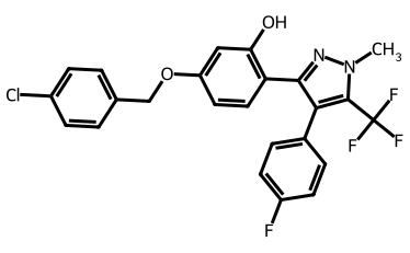 Cn1nc(-c2ccc(OCc3ccc(Cl)cc3)cc2O)c(-c2ccc(F)cc2)c1C(F)(F)F